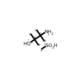 CC(C)(N)C(C)(C)O.CS(=O)(=O)O